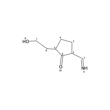 N=CC1CCC(CCO)C1=O